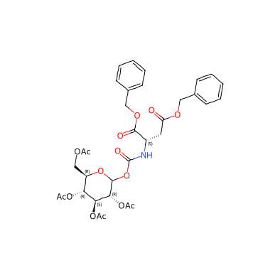 CC(=O)OC[C@H]1OC(OC(=O)N[C@@H](CC(=O)OCc2ccccc2)C(=O)OCc2ccccc2)[C@H](OC(C)=O)[C@@H](OC(C)=O)[C@@H]1OC(C)=O